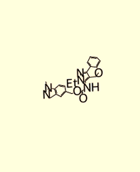 CCn1nc2c(c1NC(=O)OCc1ccc3c(cnn3C)c1)COc1ccccc1-2